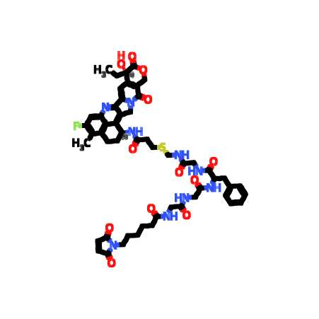 CC[C@@]1(O)C(=O)OCc2c1cc1n(c2=O)Cc2c-1nc1cc(F)c(C)c3c1c2[C@@H](NC(=O)CCSCNC(=O)CNC(=O)C(Cc1ccccc1)NC(=O)CNC(=O)CNC(=O)CCCCCN1C(=O)C=CC1=O)CC3